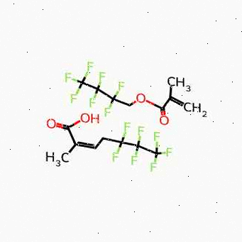 C=C(C)C(=O)OCC(F)(F)C(F)(F)C(F)(F)F.CC(=CCC(F)(F)C(F)(F)C(F)(F)F)C(=O)O